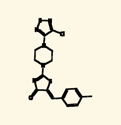 Cc1ccc(/C=C2\SC(N3CCN(c4nsnc4Cl)CC3)=NC2=O)cc1